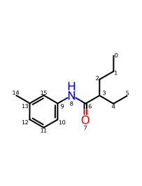 CCCC(CC)C(=O)Nc1cccc(C)c1